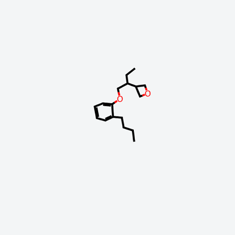 CCCCc1ccccc1OCC(CC)C1COC1